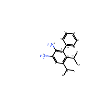 CC(C)c1cc(N)c(N)c(-c2ccccc2)c1C(C)C